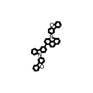 c1ccc2c(c1)oc1ccc(-n3c4ccccc4c4cc(-c5ccc6c7c5ccc5cccc(c57)n6-c5ccc6oc7ccccc7c6c5)ccc43)cc12